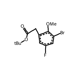 COc1c(Br)cc(F)cc1CC(=O)OC(C)(C)C